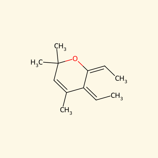 C/C=C1/C(C)=CC(C)(C)O/C1=C/C